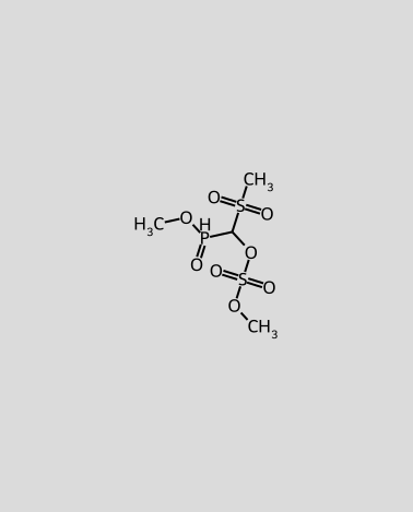 CO[PH](=O)C(OS(=O)(=O)OC)S(C)(=O)=O